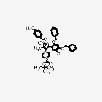 Cc1ccc(S(=O)(=O)n2nc(-c3cc(Cl)c(OCc4ccccc4)cc3OCc3ccccc3)c(N3CCN(C(=O)OC(C)(C)C)CC3)c2C)cc1